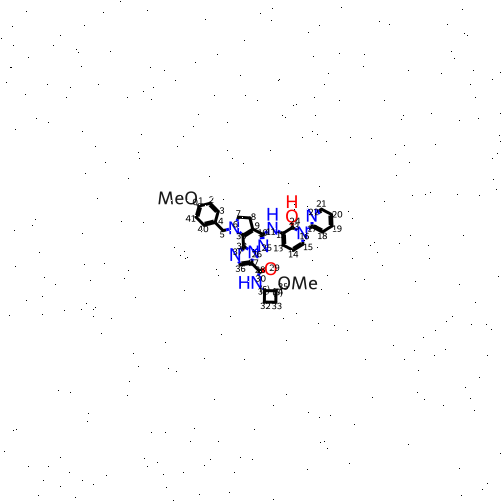 COc1ccc(CN2CCc3c(NC4=CC=CN(c5ccccn5)C4O)nn4c(C(=O)N[C@H]5CC[C@@H]5OC)cnc4c32)cc1